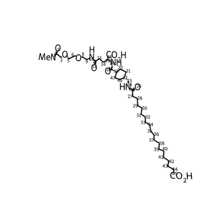 CNC(=O)COCCOCCNC(=O)CC[C@H](NC(=O)[C@H]1CC[C@H](CNC(=O)CCCCCCCCCCCCCCCCCCC(=O)O)CC1)C(=O)O